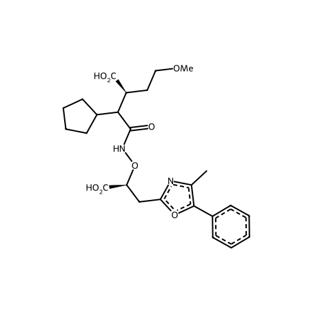 COCC[C@H](C(=O)O)C(C(=O)NO[C@@H](Cc1nc(C)c(-c2ccccc2)o1)C(=O)O)C1CCCC1